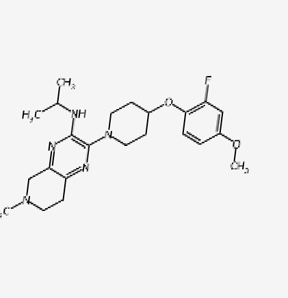 COc1ccc(OC2CCN(c3nc4c(nc3NC(C)C)CN(C)CC4)CC2)c(F)c1